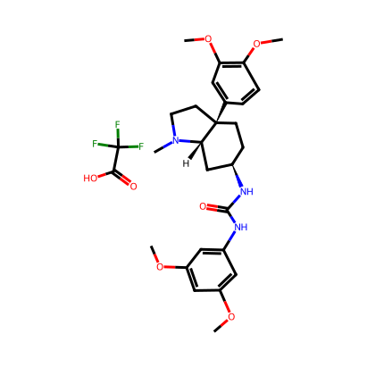 COc1cc(NC(=O)N[C@@H]2CC[C@@]3(c4ccc(OC)c(OC)c4)CCN(C)[C@H]3C2)cc(OC)c1.O=C(O)C(F)(F)F